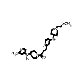 COCCN1CCC(Nc2ccnc(CCC(=O)N3CCC(Nc4ccnc(C)c4)CC3)c2)CC1